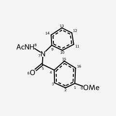 COc1ccc(C(=O)N(NC(C)=O)c2ccccc2)cc1